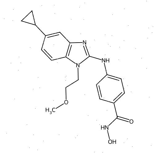 COCCn1c(Nc2ccc(C(=O)NO)cc2)nc2cc(C3CC3)ccc21